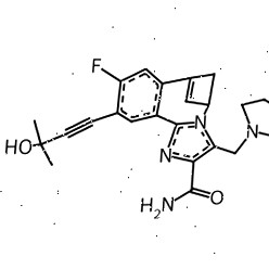 CC(C)(O)C#Cc1cc2c(cc1F)C1=CC(C1)n1c-2nc(C(N)=O)c1CN1CCCC1